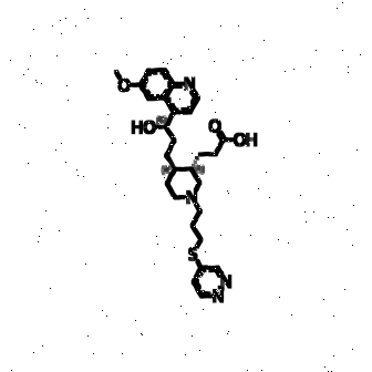 COc1ccc2nccc([C@H](O)CC[C@@H]3CCN(CCCSc4ccnnc4)C[C@H]3CCC(=O)O)c2c1